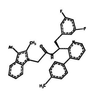 CC(=O)c1c(C)n(CC(=O)N[C@@H](Cc2cc(F)cc(F)c2)c2ncccc2-c2ccc(C)cc2)c2ccccc12